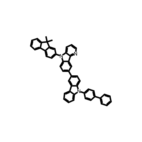 CC1(C)c2ccccc2-c2ccc(-n3c4ccc(-c5ccc6c(c5)c5ccccc5n6-c5ccc(-c6ccccc6)cc5)cc4c4ncccc43)cc21